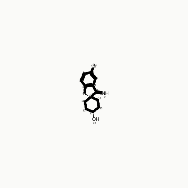 N=C1c2cc(Br)ccc2C[C@]12CC[C@@H](O)CC2